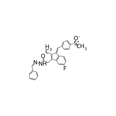 CC1=C(CC(=O)N/N=C\c2ccccc2)c2cc(F)ccc2/C1=C\c1ccc([S+](C)[O-])cc1